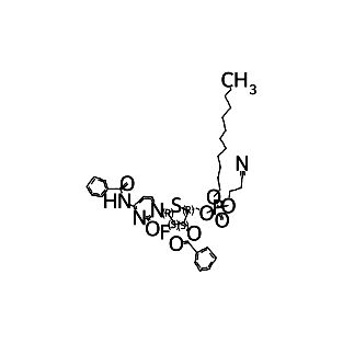 CCCCCCCCCCCCOP(=O)(OCCC#N)OC[C@H]1S[C@@H](n2ccc(NC(=O)c3ccccc3)nc2=O)[C@@H](F)[C@@H]1OC(=O)c1ccccc1